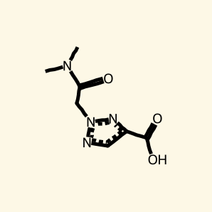 CN(C)C(=O)Cn1ncc(C(=O)O)n1